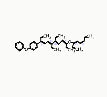 C=C/C=C\C=C(/C=C)O/C(C=C)=C/C=C(C=C)/C(C=C)=C/C=C(\C=C)c1ccc(Oc2ccccc2)cc1